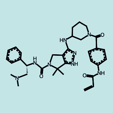 C=CC(=O)Nc1ccc(C(=O)N2CCCC(Nc3n[nH]c4c3CN(C(=O)N[C@H](CN(C)C)c3ccccc3)C4(C)C)C2)cc1